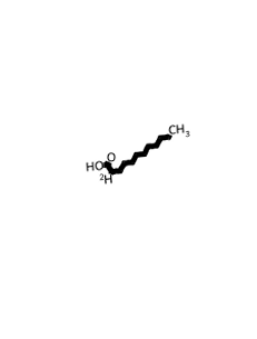 [2H]C(CCCCCCCCCC)C(=O)O